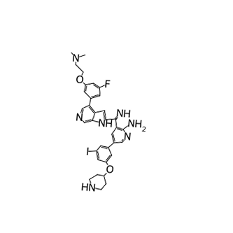 CN(C)CCOc1cc(F)cc(-c2cncc3[nH]c(C(=N)c4cc(-c5cc(I)cc(OC6CCNCC6)c5)cnc4N)cc23)c1